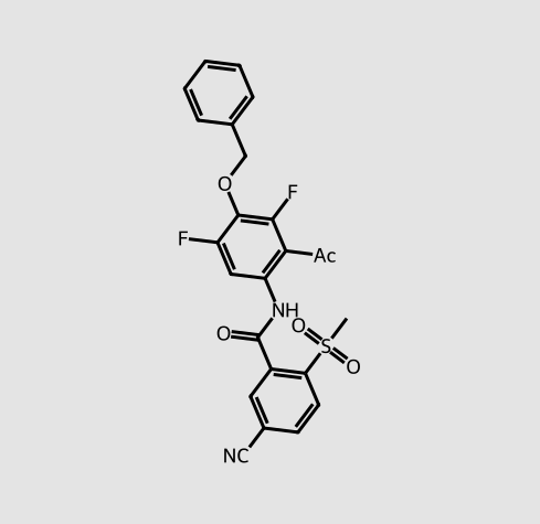 CC(=O)c1c(NC(=O)c2cc(C#N)ccc2S(C)(=O)=O)cc(F)c(OCc2ccccc2)c1F